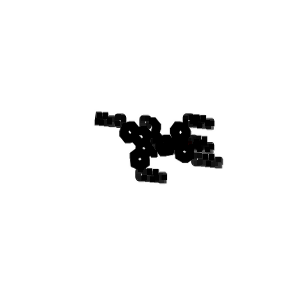 COc1ccc(C2(c3ccc(OC)cc3OC)C=CC=C(C3=CCOc4c3c3c(c5ccc(OC)cc45)-c4ccc(OC)cc4C3(C)OCCOCCO)C2)cc1